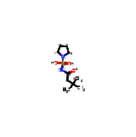 CC(C)(C)CC(=O)NS(=O)(=O)N1CCCC1